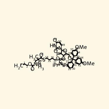 C=CCOC(=O)NCC(C)(C)C(=O)SCCCCOP(OC1C(COC(c2ccccc2)(c2ccc(OC)cc2)c2ccc(OC)cc2)OC(n2ccc(=O)[nH]c2=O)C1F)N(C(C)C)C(C)C